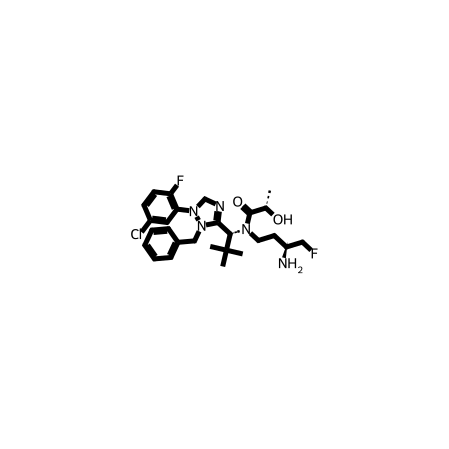 C[C@H](O)C(=O)N(CC[C@H](N)CF)[C@@H](C1=NCN(c2cc(Cl)ccc2F)N1Cc1ccccc1)C(C)(C)C